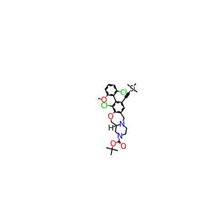 COc1cccc(Cl)c1-c1c(C#C[Si](C)(C)C)cc2c(c1Cl)OC[C@H]1CN(C(=O)OC(C)(C)C)CCN1C2